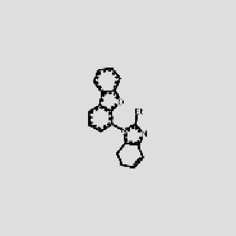 CCc1nc2c(n1-c1cccc3c1oc1ccccc13)CCC=C2